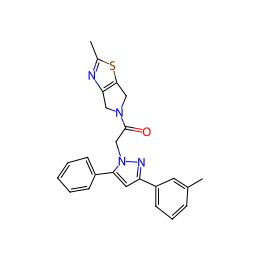 Cc1cccc(-c2cc(-c3ccccc3)n(CC(=O)N3Cc4nc(C)sc4C3)n2)c1